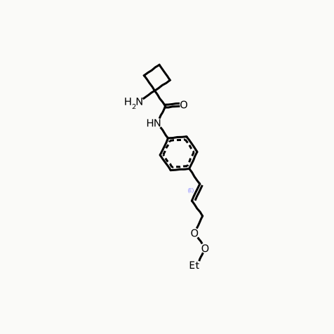 CCOOC/C=C/c1ccc(NC(=O)C2(N)CCC2)cc1